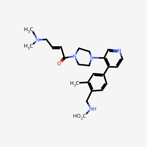 Cc1cc(-c2ccncc2N2CCN(C(=O)C=CCN(C)C)CC2)ccc1CNC(=O)O